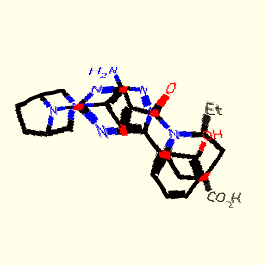 CCC1CC(C(=O)O)CCN1C(=O)c1cnc(N2C3CCC2CN(c2cc(-c4ccccc4O)nnc2N)C3)nc1